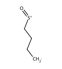 [CH2]CCC[S+]=O